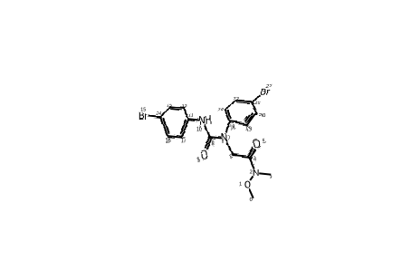 CON(C)C(=O)CN(C(=O)Nc1ccc(Br)cc1)c1ccc(Br)cc1